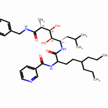 CCCC(CCC)CCC(NC(=O)c1cccnc1)C(=O)N[C@@H](CC(C)C)[C@@H](O)[C@H](O)[C@@H](C)C(=O)NCc1ccccc1